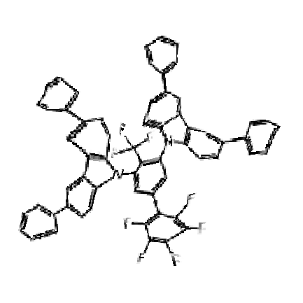 Fc1c(F)c(F)c(-c2cc(-n3c4ccc(-c5ccccc5)cc4c4cc(-c5ccccc5)ccc43)c(C(F)(F)F)c(-n3c4ccc(-c5ccccc5)cc4c4cc(-c5ccccc5)ccc43)c2)c(F)c1F